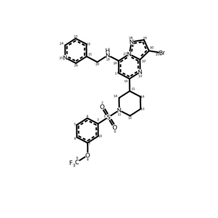 O=S(=O)(c1cccc(OC(F)(F)F)c1)N1CCCC(c2cc(NCc3cccnc3)n3ncc(Br)c3n2)C1